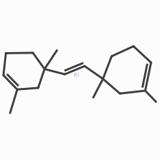 CC1=CCCC(C)(/C=C/C2(C)CCC=C(C)C2)C1